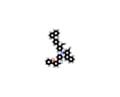 CCc1cc(N(c2ccc(-c3c(C)ccc4c3oc3ccccc34)cc2)c2cc(C)cc3c2ccc2ccccc23)ccc1-c1ccc(-c2cccc3ccccc23)cc1